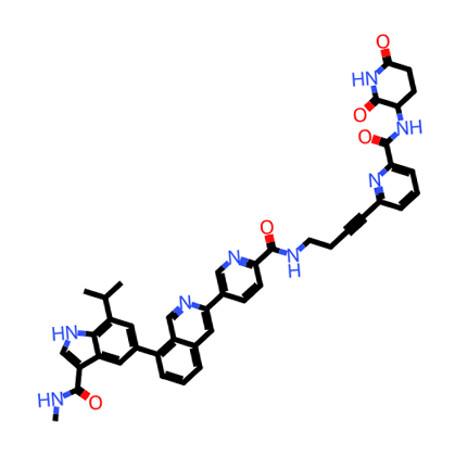 CNC(=O)c1c[nH]c2c(C(C)C)cc(-c3cccc4cc(-c5ccc(C(=O)NCCC#Cc6cccc(C(=O)NC7CCC(=O)NC7=O)n6)nc5)ncc34)cc12